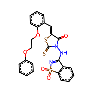 O=C1C(=Cc2ccccc2OCCOc2ccccc2)SC(=S)N1NC1=NS(=O)(=O)c2ccccc21